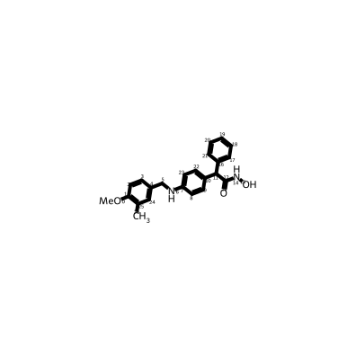 COc1ccc(CNc2ccc(C(C(=O)NO)c3ccccc3)cc2)cc1C